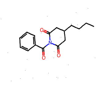 CCC[CH]C1CC(=O)N(C(=O)c2ccccc2)C(=O)C1